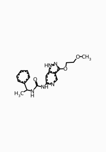 COCCOc1n[nH]c2cc(NC(=O)NC(C)c3ccccc3)ncc12